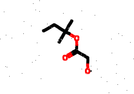 CCC(C)(C)OC(=O)C[O]